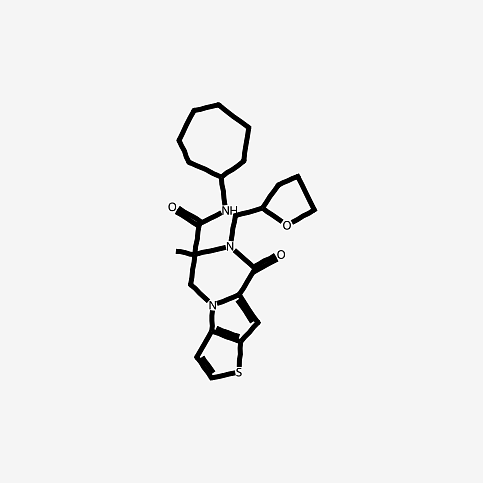 CC1(C(=O)NC2CCCCCC2)Cn2c(cc3sccc32)C(=O)N1CC1CCCO1